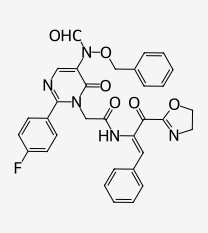 O=CN(OCc1ccccc1)c1cnc(-c2ccc(F)cc2)n(CC(=O)NC(=Cc2ccccc2)C(=O)C2=NCCO2)c1=O